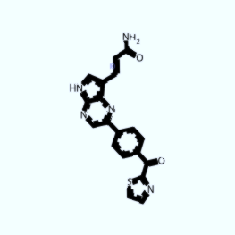 NC(=O)/C=C/c1c[nH]c2ncc(-c3ccc(C(=O)c4nccs4)cc3)nc12